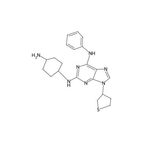 NC1CCC(Nc2nc(Nc3ccccc3)c3ncn(C4CCSC4)c3n2)CC1